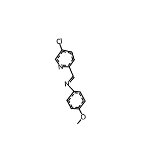 COc1ccc(N=Cc2ccc(Cl)cn2)cc1